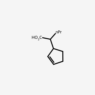 CCCC(C(=O)O)C1C=CCC1